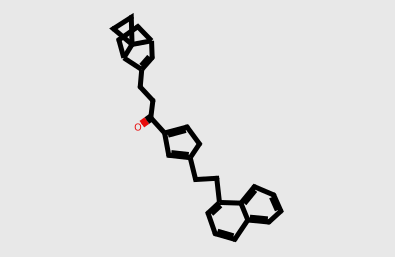 O=C(CCC1=CC2CCC1C21CC1)C1=CCC(CCc2cccc3ccccc23)=C1